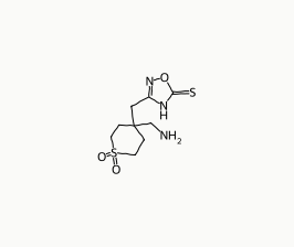 NCC1(Cc2noc(=S)[nH]2)CCS(=O)(=O)CC1